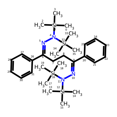 C[Si](C)(C)N(N=C(CCC(=NN([Si](C)(C)C)[Si](C)(C)C)c1ccccc1)c1ccccc1)[Si](C)(C)C